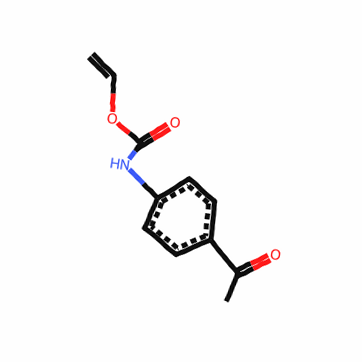 C=COC(=O)Nc1ccc(C(C)=O)cc1